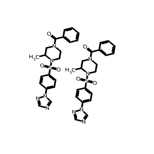 CC1CN(C(=O)c2ccccc2)CCN1S(=O)(=O)c1ccc(-n2cncn2)cc1.CC1CN(C(=O)c2ccccc2)CCN1S(=O)(=O)c1ccc(-n2cncn2)cc1